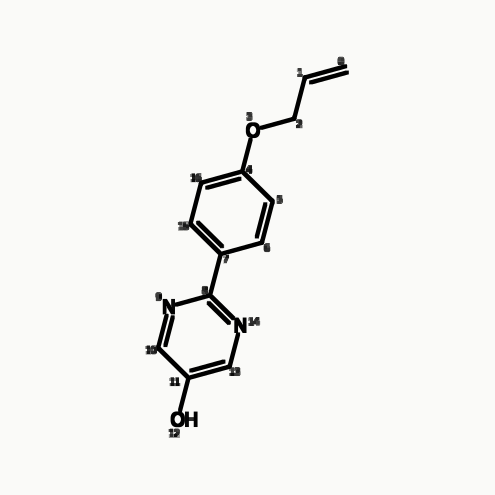 C=CCOc1ccc(-c2ncc(O)cn2)cc1